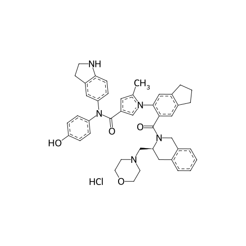 Cc1cc(C(=O)N(c2ccc(O)cc2)c2ccc3c(c2)CCN3)cn1-c1cc2c(cc1C(=O)N1Cc3ccccc3C[C@H]1CN1CCOCC1)CCC2.Cl